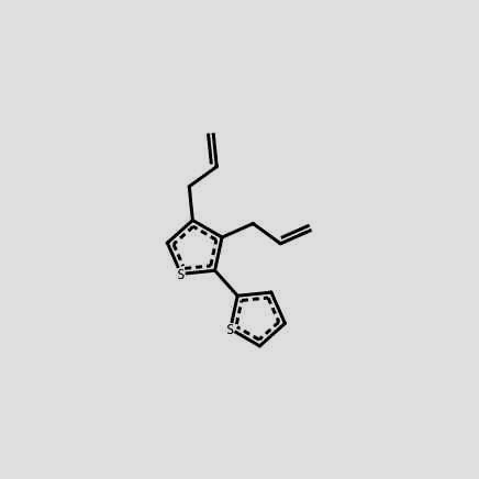 C=CCc1csc(-c2cccs2)c1CC=C